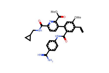 C=Cc1cc(C(=O)Nc2ccc(C(=N)N)cc2)c(-c2ccc(C(=O)NCC3CC3)nc2C(=O)OC)cc1OC